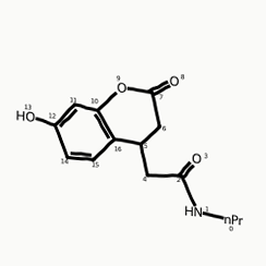 CCCNC(=O)CC1CC(=O)Oc2cc(O)ccc21